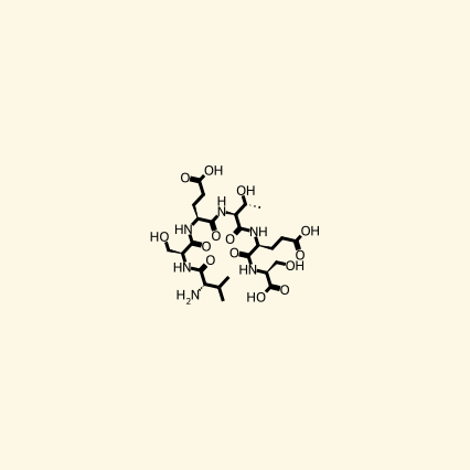 CC(C)[C@H](N)C(=O)N[C@@H](CO)C(=O)N[C@@H](CCC(=O)O)C(=O)N[C@H](C(=O)N[C@@H](CCC(=O)O)C(=O)N[C@@H](CO)C(=O)O)[C@@H](C)O